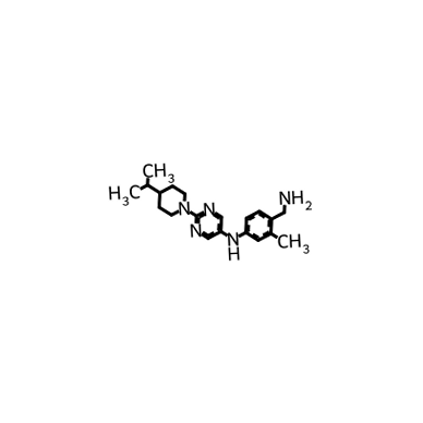 Cc1cc(Nc2cnc(N3CCC(C(C)C)CC3)nc2)ccc1CN